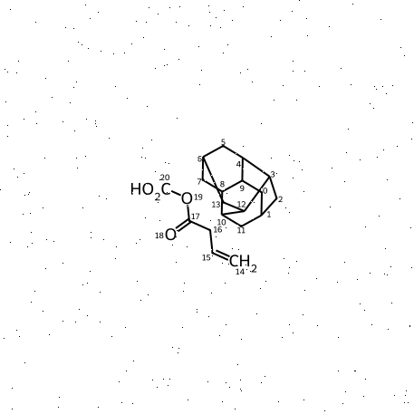 C1C2CC3C4CC5CC(C14)C(C2)C3C5.C=CCC(=O)OC(=O)O